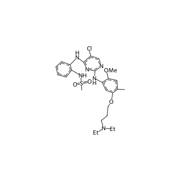 CCN(CC)CCCOc1cc(Nc2ncc(Cl)c(Nc3ccccc3NS(C)(=O)=O)n2)c(OC)cc1C